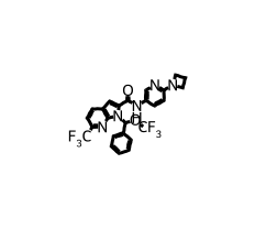 O=C(Nc1ccc(N2CCC2)nc1)c1cc2ccc(C(F)(F)F)nc2n1C(OC(F)(F)F)c1ccccc1